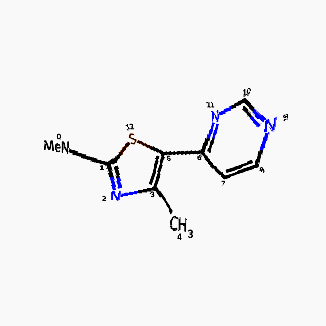 CNc1nc(C)c(-c2ccncn2)s1